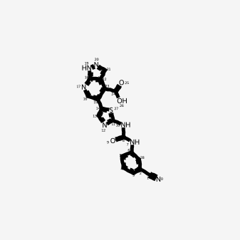 N#Cc1cccc(NC(=O)Nc2ncc(-c3cnc4[nH]ncc4c3C(=O)O)s2)c1